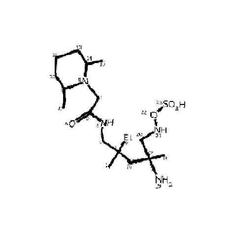 CCC(C)(CNC(=O)CN1C(C)CCCC1C)CC(C)(N)CNOS(=O)(=O)O